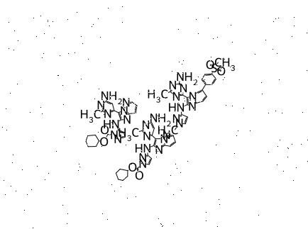 Cc1nc(N)cc(-c2c(Nc3ccn(C(=O)OC4CCCCC4)n3)nc3cccnn23)n1.Cc1nc(N)cc(-c2c(Nc3ccnn3C(=O)OC3CCCCC3)nc3cccnn23)n1.Cc1nc(N)nc(-c2c(Nc3ccn(C)n3)nc3ccc(-c4ccc(S(C)(=O)=O)cc4)cn23)n1